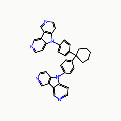 c1cc2c(cn1)c1cnccc1n2-c1ccc(C2(c3ccc(-n4c5ccncc5c5cnccc54)cc3)CCCCC2)cc1